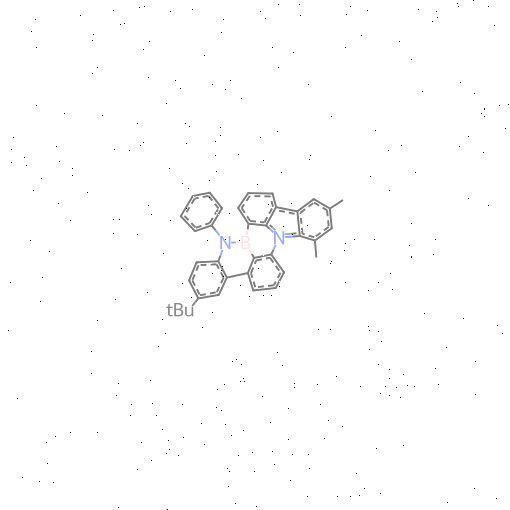 Cc1cc(C)c2c(c1)c1cccc3c1n2-c1cccc2c1B3N(c1ccccc1)c1ccc(C(C)(C)C)cc1-2